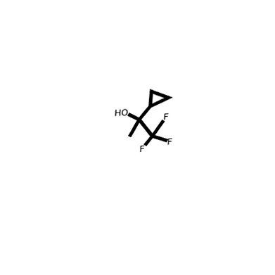 CC(O)(C1CC1)C(F)(F)F